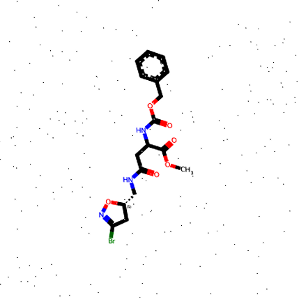 COC(=O)C(CC(=O)NC[C@@H]1CC(Br)=NO1)NC(=O)OCc1ccccc1